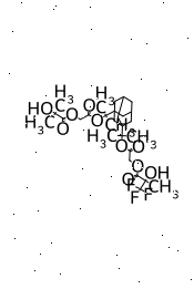 CC(C)(O)C(=O)OCC(=O)OC(C)(C)C12CC3CC(C1)CC(C(C)(C)OC(=O)COC(=O)C(C)(O)C(F)(F)F)(C3)C2